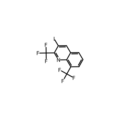 FC(F)(F)c1nc2c(C(F)(F)F)cccc2cc1I